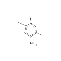 [CH2]c1cc(C)c([N+](=O)[O-])cc1C